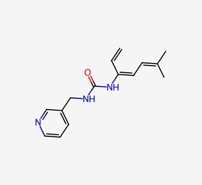 C=C/C(=C\C=C(C)C)NC(=O)NCc1cccnc1